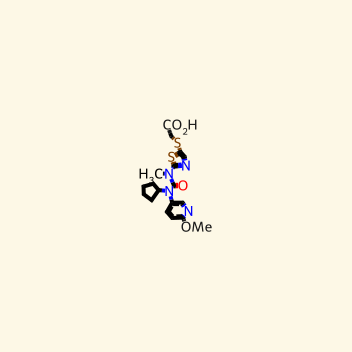 COc1ccc(N(C(=O)N(C)c2ncc(SCC(=O)O)s2)C2CCCC2)cn1